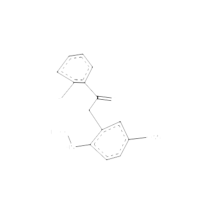 COc1ccc(NC(=O)O)c(CC(=O)c2ccccc2F)c1